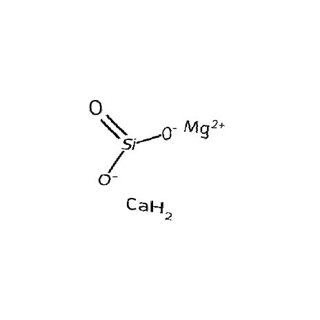 O=[Si]([O-])[O-].[CaH2].[Mg+2]